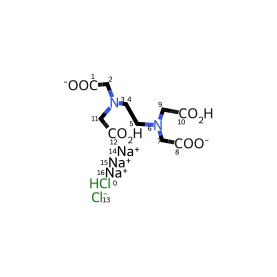 Cl.O=C([O-])CN(CCN(CC(=O)[O-])CC(=O)O)CC(=O)O.[Cl-].[Na+].[Na+].[Na+]